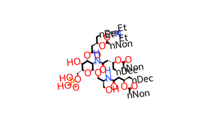 CCCCCCCCCCC[C@H](CC(=O)N[C@@H](CO)CO[C@@H]1O[C@H](COP(=O)(O)O)[C@@H](O)[C@H](OC(=O)C[C@@H](CCCCCCCCCCC)OC(=O)CCCCCCCCC)[C@H]1NC(=O)C[C@@H](CCCCCCCCCCC)OC(=O)CCCCCCCCC)OC(=O)CCCCCCCCC.CCN(CC)CC